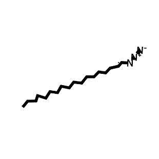 CCCCCCCCCCCCCCCCC[CH]N=[N+]=[N-]